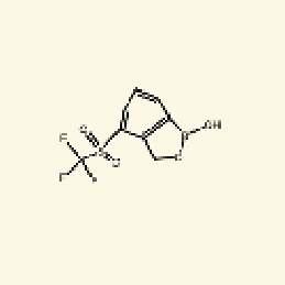 O=S(=O)(c1cccc2c1COB2O)C(F)(F)F